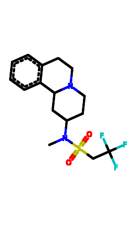 CN(C1CCN2CCc3ccccc3C2C1)S(=O)(=O)CC(F)(F)F